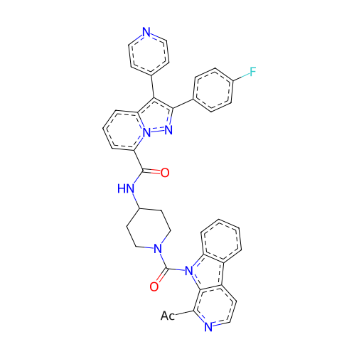 CC(=O)c1nccc2c3ccccc3n(C(=O)N3CCC(NC(=O)c4cccc5c(-c6ccncc6)c(-c6ccc(F)cc6)nn45)CC3)c12